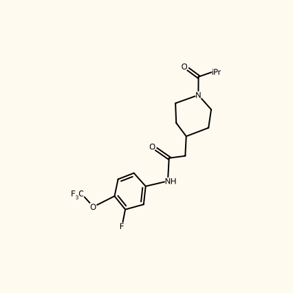 CC(C)C(=O)N1CCC(CC(=O)Nc2ccc(OC(F)(F)F)c(F)c2)CC1